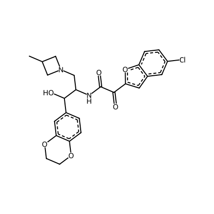 CC1CN(CC(NC(=O)C(=O)c2cc3cc(Cl)ccc3o2)C(O)c2ccc3c(c2)OCCO3)C1